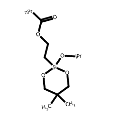 CCCC(=O)OCC[Si]1(OC(C)C)OCC(C)(C)CO1